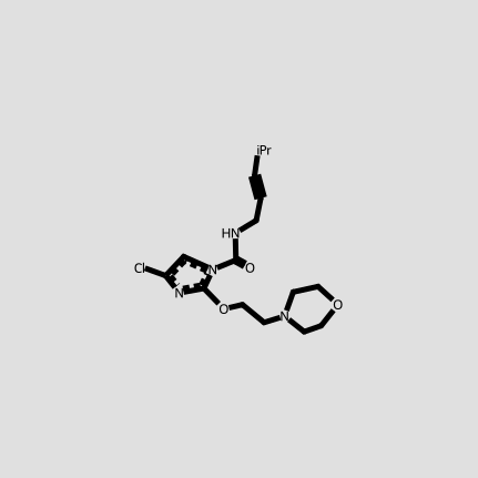 CC(C)C#CCNC(=O)n1cc(Cl)nc1OCCN1CCOCC1